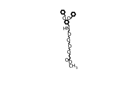 CCOC(=O)CCCOCCOCCOCCOCCNCc1ccc(OCc2ccccc2)c(OCc2ccccc2)c1